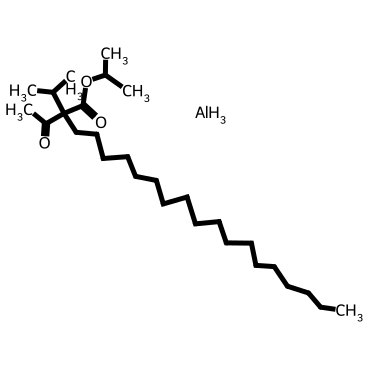 CCCCCCCCCCCCCCCCCCC(C(C)=O)(C(=O)OC(C)C)C(C)C.[AlH3]